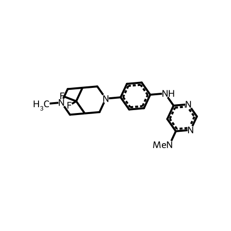 CNc1cc(Nc2ccc(N3CC4CN(C)CC(C3)C4(F)F)cc2)ncn1